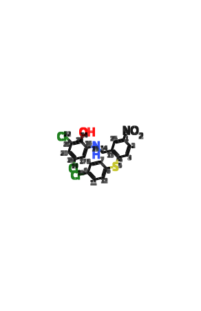 O=[N+]([O-])c1ccc(Sc2ccc(Cl)cc2)c(CNc2cc(Cl)cc(Cl)c2O)c1